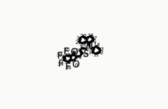 O=C1C(=Cc2ccc(N(c3ccccc3)c3cccc4ccccc34)s2)C(=O)c2c(F)c(F)c(F)c(F)c21